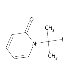 CC(C)(I)n1ccccc1=O